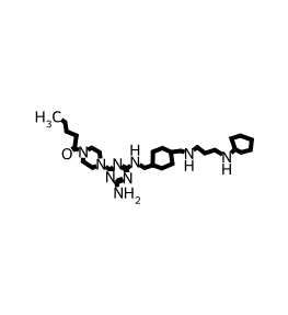 CCCCC(=O)N1CCN(c2nc(N)nc(NCC3CCC(CNCCCNC4CCCCC4)CC3)n2)CC1